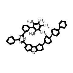 Bc1c(B)c(B)c(-c2cccc(-c3nc(-c4ccccc4)nc(-c4ccc5oc6ccc(-c7ccc(-c8ccc(-c9ccccc9)cc8)cc7)cc6c5c4)n3)c2)c(B)c1B